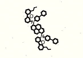 CCCc1cccc2c1oc1c(N(c3ccc(-c4ccccc4)cc3)c3ccc4ccc5c(N(c6ccc(-c7ccccc7)cc6)c6cccc7c6oc6c(CCC)cccc67)ccc6ccc3c4c65)cccc12